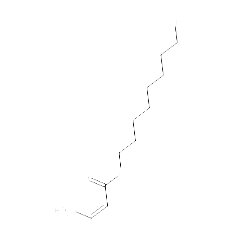 CC(C)CCCCCCCCOC(=O)/C=C\C(=O)O